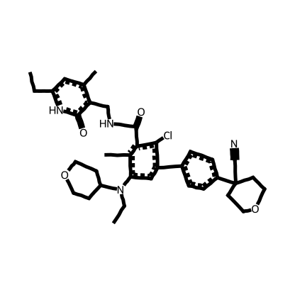 CCc1cc(C)c(CNC(=O)c2c(C)c(N(CC)C3CCOCC3)cc(-c3ccc(C4(C#N)CCOCC4)cc3)c2Cl)c(=O)[nH]1